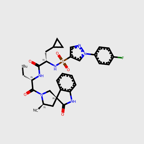 CC(C)(C)C[C@H](NC(=O)[C@H](CC1CC1)NS(=O)(=O)c1cnn(-c2ccc(F)cc2)c1)C(=O)N1C[C@]2(C[C@H]1C#N)C(=O)Nc1ccccc12